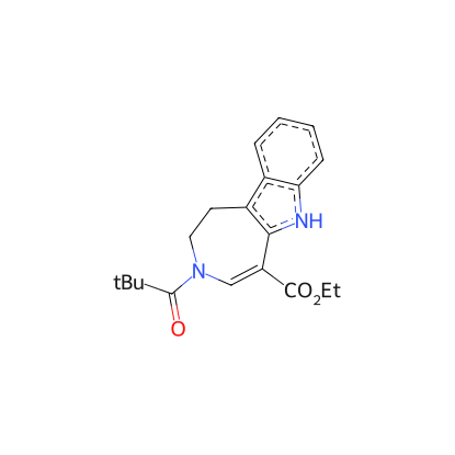 CCOC(=O)C1=CN(C(=O)C(C)(C)C)CCc2c1[nH]c1ccccc21